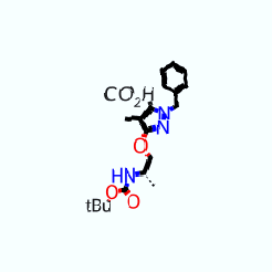 Cc1c(OC[C@H](C)NC(=O)OC(C)(C)C)nn(Cc2ccccc2)c1C(=O)O